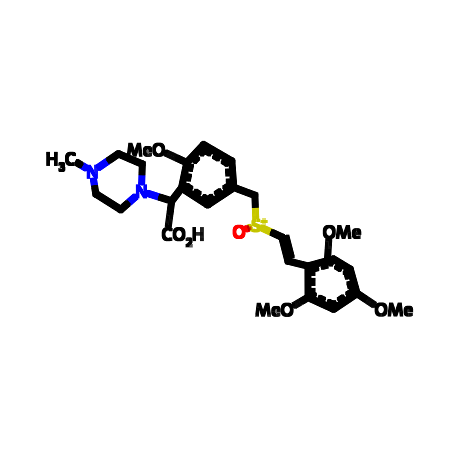 COc1cc(OC)c(C=C[S+]([O-])Cc2ccc(OC)c(C(C(=O)O)N3CCN(C)CC3)c2)c(OC)c1